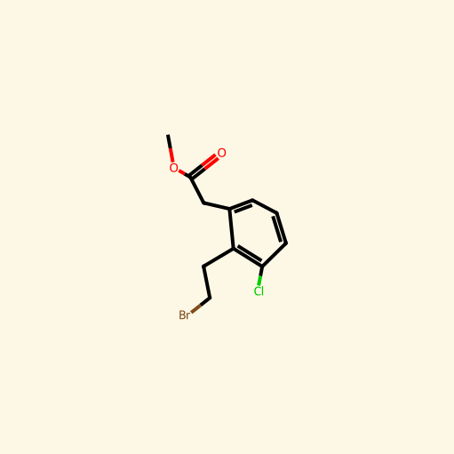 COC(=O)Cc1cccc(Cl)c1CCBr